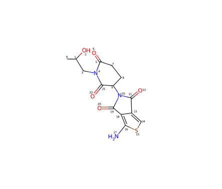 CC(O)CN1C(=O)CCC(N2C(=O)c3csc(N)c3C2=O)C1=O